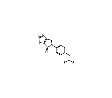 O=C1c2snnc2CN1c1ccc(SC(F)F)cc1